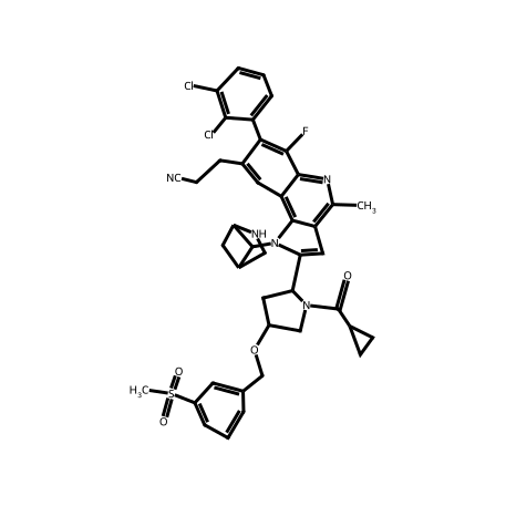 Cc1nc2c(F)c(-c3cccc(Cl)c3Cl)c(CCC#N)cc2c2c1cc(C1CC(OCc3cccc(S(C)(=O)=O)c3)CN1C(=O)C1CC1)n2C1C2CNC1C2